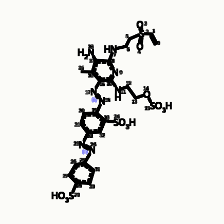 C=CS(=O)(=O)CCNc1nc(NCCOS(=O)(=O)O)c(/N=N/c2ccc(/N=N/c3ccc(S(=O)(=O)O)cc3)cc2S(=O)(=O)O)c(C)c1N